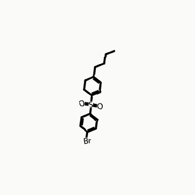 CCCCC1=CC=C(S(=O)(=O)c2ccc(Br)cc2)CC1